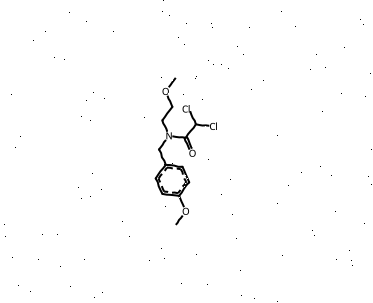 COCCN(Cc1ccc(OC)cc1)C(=O)C(Cl)Cl